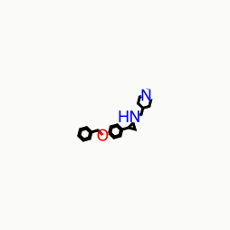 CN1CCC(CNC2CC2c2ccc(OCc3ccccc3)cc2)CC1